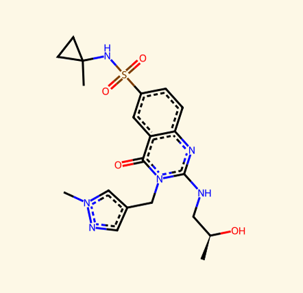 C[C@H](O)CNc1nc2ccc(S(=O)(=O)NC3(C)CC3)cc2c(=O)n1Cc1cnn(C)c1